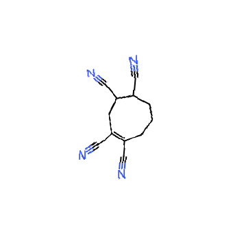 N#CC1=C(C#N)CC(C#N)C(C#N)CCC1